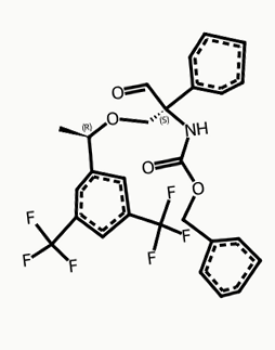 C[C@@H](OC[C@@](C=O)(NC(=O)OCc1ccccc1)c1ccccc1)c1cc(C(F)(F)F)cc(C(F)(F)F)c1